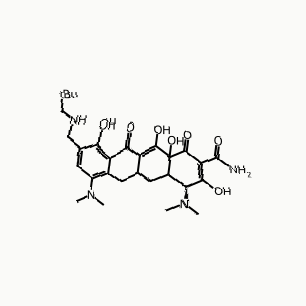 CN(C)c1cc(CNCC(C)(C)C)c(O)c2c1CC1CC3[C@H](N(C)C)C(O)=C(C(N)=O)C(=O)C3(O)C(O)=C1C2=O